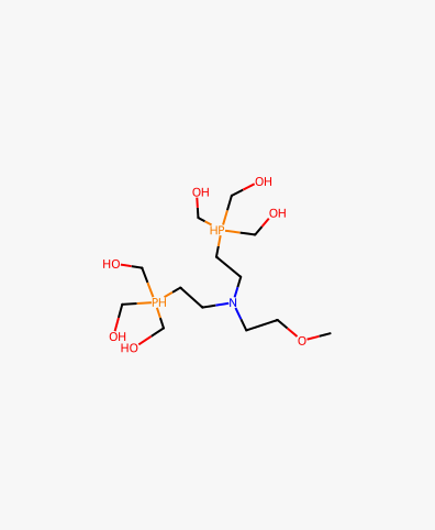 COCCN(CC[PH](CO)(CO)CO)CC[PH](CO)(CO)CO